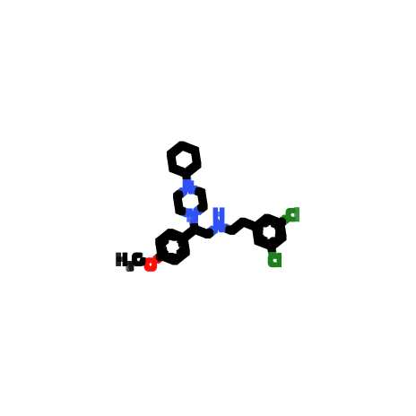 COc1ccc(C(CNCCc2cc(Cl)cc(Cl)c2)N2CCN(C3CCCCC3)CC2)cc1